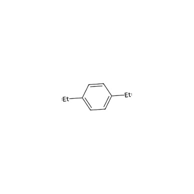 C[C]c1ccc([C]C)cc1